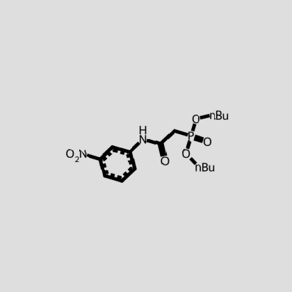 CCCCOP(=O)(CC(=O)Nc1cccc([N+](=O)[O-])c1)OCCCC